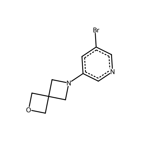 Brc1cncc(N2CC3(COC3)C2)c1